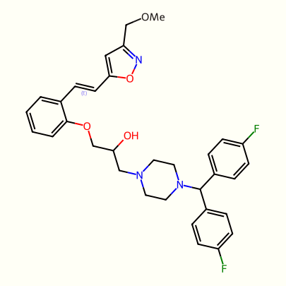 COCc1cc(/C=C/c2ccccc2OCC(O)CN2CCN(C(c3ccc(F)cc3)c3ccc(F)cc3)CC2)on1